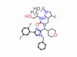 CC(CO)NC(=O)N(CC1CN(C(=O)O)CC1F)C(c1nc(-c2cc(F)ccc2F)cn1Cc1ccccc1)C1CCOCC1